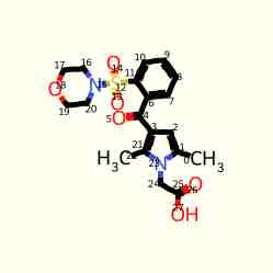 Cc1cc(C(=O)c2ccccc2S(=O)(=O)N2CCOCC2)c(C)n1CC(=O)O